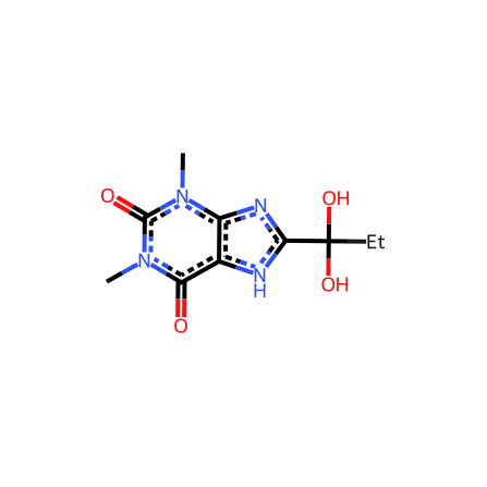 CCC(O)(O)c1nc2c([nH]1)c(=O)n(C)c(=O)n2C